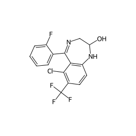 OC1CN=C(c2ccccc2F)c2c(ccc(C(F)(F)F)c2Cl)N1